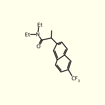 CCN(CC)C(=O)C(C)c1ccc2cc(C(F)(F)F)ccc2c1